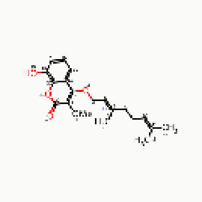 COc1c(OC/C=C(\C)CCC=C(C)C)c2cccc(O)c2oc1=O